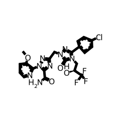 COc1cccnc1-n1nc(Cn2nc(-c3ccc(Cl)cc3)n(C[C@H](O)C(F)(F)F)c2=O)nc1C(N)=O